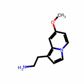 COc1ccn2ccc(CCN)c2c1